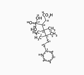 CC(C)(SSc1ccccn1)C(C)(C)C(CC(=O)O)P(=O)(O)O